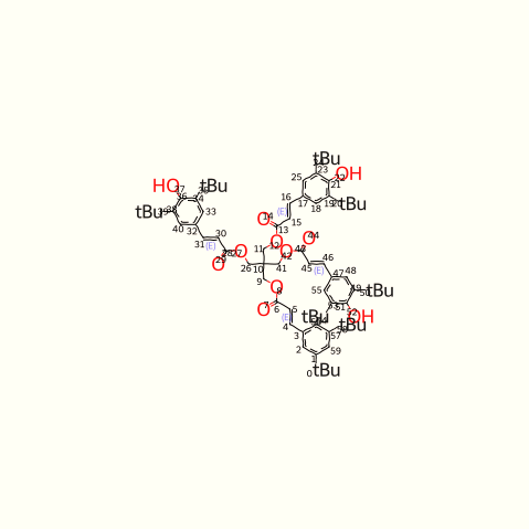 CC(C)(C)c1cc(/C=C/C(=O)OCC(COC(=O)/C=C/c2cc(C(C)(C)C)c(O)c(C(C)(C)C)c2)(COC(=O)/C=C/c2cc(C(C)(C)C)c(O)c(C(C)(C)C)c2)COC(=O)/C=C/c2cc(C(C)(C)C)c(O)c(C(C)(C)C)c2)cc(C(C)(C)C)c1